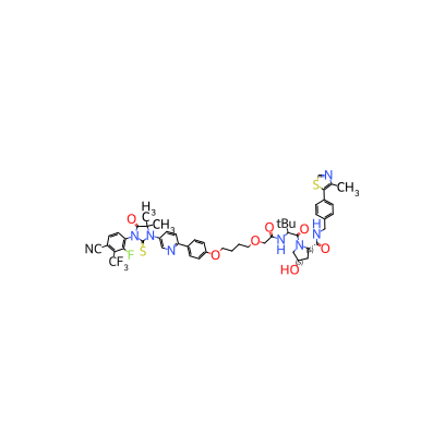 Cc1ncsc1-c1ccc(CNC(=O)[C@@H]2C[C@H](O)CN2C(=O)C(NC(=O)COCCCCOc2ccc(-c3ccc(N4C(=S)N(c5ccc(C#N)c(C(F)(F)F)c5F)C(=O)C4(C)C)cn3)cc2)C(C)(C)C)cc1